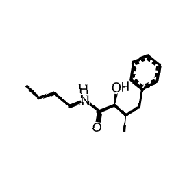 CCCCNC(=O)[C@@H](O)[C@H](C)Cc1ccccc1